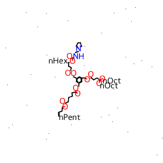 CCCCC/C=C\CCOC(=O)CCCCC(=O)OCc1cc(COC(=O)CCC(CCCCCC)OC(=O)NCCN2CCCC2)cc(COC(=O)CCC(OCCCCCCCC)OCCCCCCCC)c1